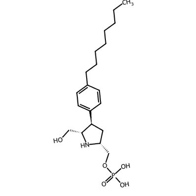 CCCCCCCCc1ccc([C@H]2C[C@H](COP(=O)(O)O)N[C@@H]2CO)cc1